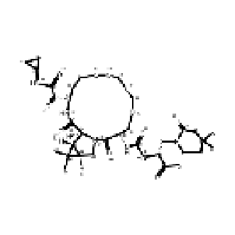 C=C(C)[C@@H](CN1CCC(C)(C)CC1=O)NC(=O)N[C@H]1COCCCCCCC[C@@H](C(=O)C(=O)NC2CC2)NC(=O)[C@@H]2[C@@H]3[C@H](CN2C1=O)C3(C)C